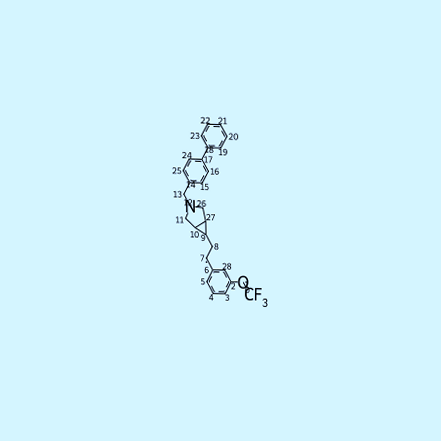 FC(F)(F)Oc1cccc([CH]CC2C3CN(Cc4ccc(-c5ccccc5)cc4)CC23)c1